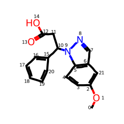 COc1ccc2c(cnn2C(CC(=O)O)c2ccccc2)c1